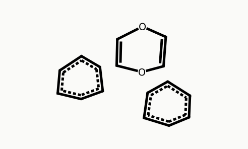 C1=COC=CO1.c1ccccc1.c1ccccc1